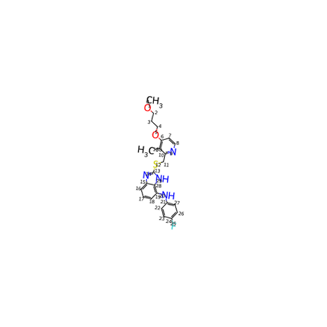 COCCCOc1ccnc(CSc2nc3cccc(Nc4ccc(F)cc4)c3[nH]2)c1C